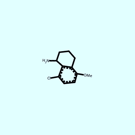 COc1ccc(Cl)c2c1CCCC2N